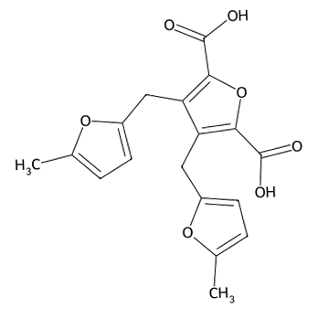 Cc1ccc(Cc2c(C(=O)O)oc(C(=O)O)c2Cc2ccc(C)o2)o1